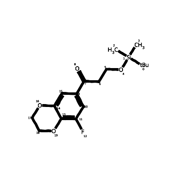 CC(C)(C)[Si](C)(C)OCCC(=O)c1cc(F)c2c(c1)OCCO2